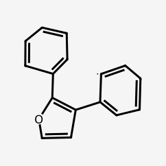 [c]1ccccc1-c1ccoc1-c1ccccc1